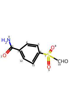 NC(=O)c1ccc(S(=O)(=O)C=O)cc1